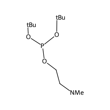 CNCCOP(OC(C)(C)C)OC(C)(C)C